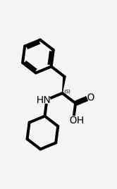 O=C(O)[C@H](Cc1ccccc1)NC1CCCCC1